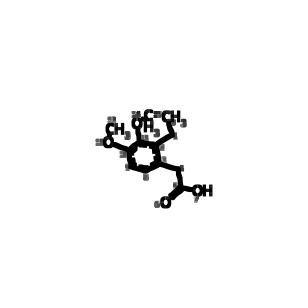 CCc1c(CC(=O)O)ccc(OC)c1OC